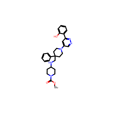 CC(C)(C)OC(=O)N1CCC(NCC2(c3ccccc3)CCN(c3cnnc(-c4ccccc4O)c3)CC2)CC1